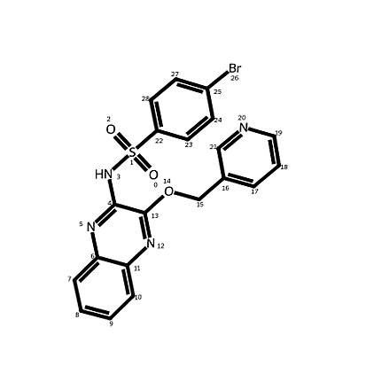 O=S(=O)(Nc1nc2ccccc2nc1OCc1cccnc1)c1ccc(Br)cc1